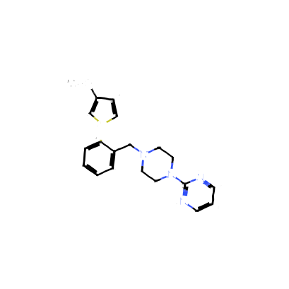 COC1=C[SH](c2ccccc2CN2CCN(c3ncccn3)CC2)C=C1